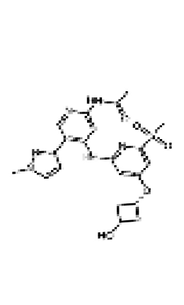 CC(=O)Nc1cc(Nc2cc(O[C@H]3C[C@H](O)C3)cc(S(C)(=O)=O)n2)c(-c2ccn(C)n2)cn1